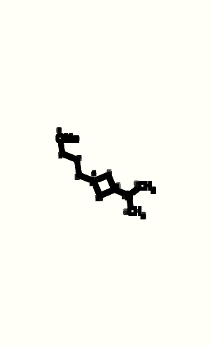 COCCCN1CC(N(C)C)C1